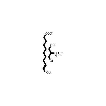 CCCCCCCCC=CCCCCCCCC(=O)[O-].OCC(O)CO.[Ag+]